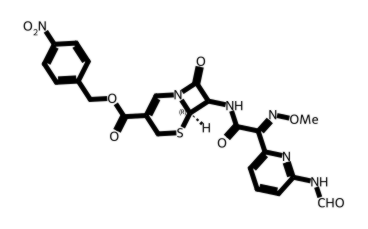 CON=C(C(=O)NC1C(=O)N2C=C(C(=O)OCc3ccc([N+](=O)[O-])cc3)CS[C@H]12)c1cccc(NC=O)n1